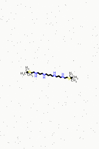 CC(C)(C)SCCNCCCNCCCCNCCCNCCSC(C)(C)C